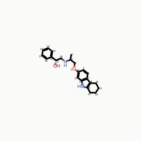 CC(COc1ccc2c3c([nH]c2c1)CCCC3)NC[C@H](O)c1ccccc1